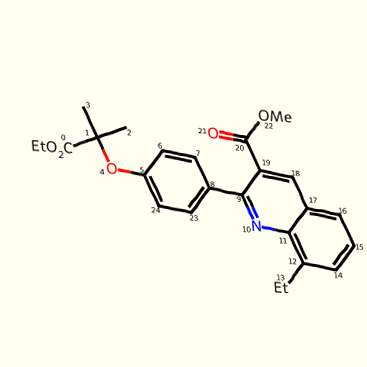 CCOC(=O)C(C)(C)Oc1ccc(-c2nc3c(CC)cccc3cc2C(=O)OC)cc1